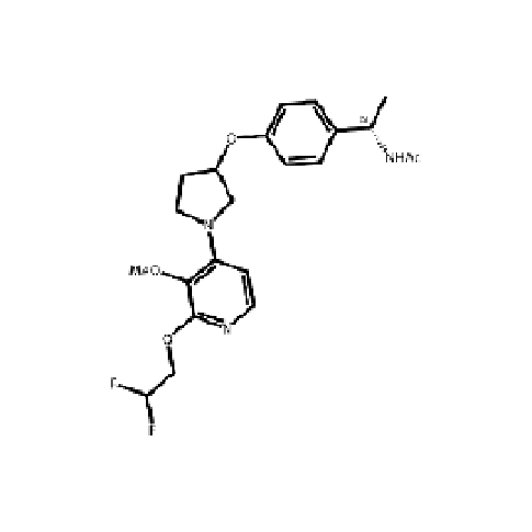 COc1c(N2CCC(Oc3ccc([C@H](C)NC(C)=O)cc3)C2)ccnc1OCC(F)F